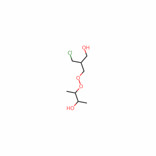 CC(O)C(C)OOCC(CO)CCl